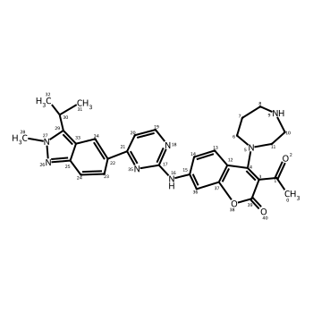 CC(=O)c1c(N2CCCNCC2)c2ccc(Nc3nccc(-c4ccc5nn(C)c(C(C)C)c5c4)n3)cc2oc1=O